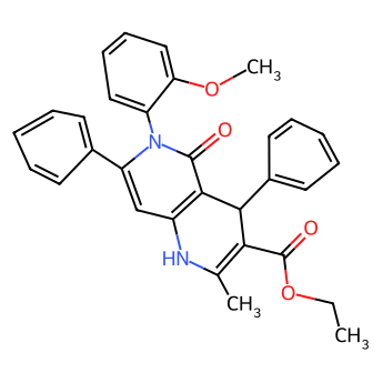 CCOC(=O)C1=C(C)Nc2cc(-c3ccccc3)n(-c3ccccc3OC)c(=O)c2C1c1ccccc1